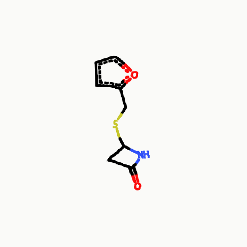 O=C1CC(SCc2ccco2)N1